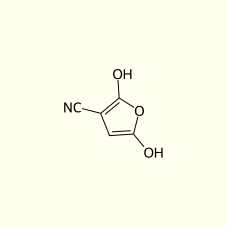 N#Cc1cc(O)oc1O